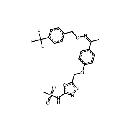 CC(=NOCc1ccc(C(F)(F)F)cc1)c1ccc(OCc2nnc(NS(C)(=O)=O)o2)cc1